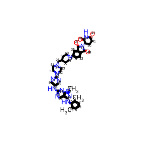 Cc1cccc(C)c1Nc1nn(C)c2nc(Nc3cnc(N4CCN(CC5CCN(c6ccc7c(c6)C(=O)N(C6CCC(=O)NC6=O)C7=O)CC5)CC4)nc3)ncc12